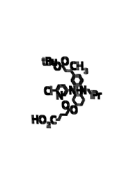 CC(C)CN(c1ccc(C(C)CC(=O)OC(C)(C)C)cc1Nc1ccc(Cl)nc1)[C@H]1CC[C@H](OC(=O)CCCC(=O)O)CC1